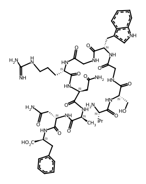 CC(C)[C@H](N)C(=O)N[C@@H](CO)C(=O)NCC(=O)N[C@@H](Cc1c[nH]c2ccccc12)C(=O)NCC(=O)N[C@@H](CCCNC(=N)N)C(=O)N[C@@H](CC(N)=O)C(=O)N[C@@H](C)C(=O)N[C@@H](CC(N)=O)C(=O)N[C@@H](Cc1ccccc1)C(=O)O